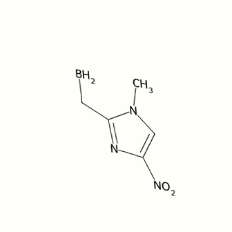 BCc1nc([N+](=O)[O-])cn1C